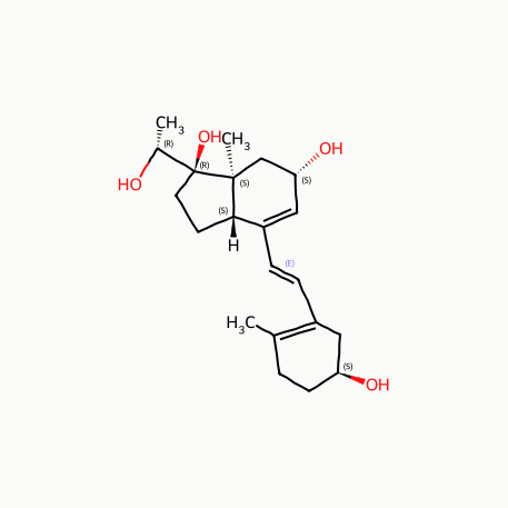 CC1=C(/C=C/C2=C[C@@H](O)C[C@@]3(C)[C@H]2CC[C@]3(O)[C@@H](C)O)C[C@@H](O)CC1